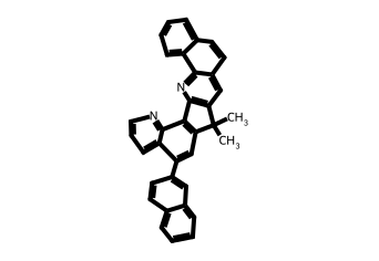 CC1(C)c2cc3ccc4ccccc4c3nc2-c2c1cc(-c1ccc3ccccc3c1)c1cccnc21